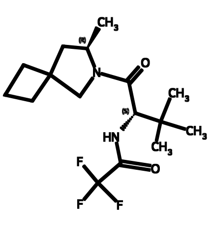 C[C@@H]1CC2(CCC2)CN1C(=O)[C@@H](NC(=O)C(F)(F)F)C(C)(C)C